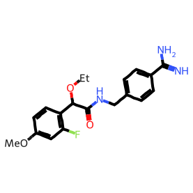 CCOC(C(=O)NCc1ccc(C(=N)N)cc1)c1ccc(OC)cc1F